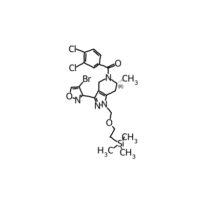 C[C@@H]1Cc2c(c(-c3nocc3Br)nn2COCC[Si](C)(C)C)CN1C(=O)c1ccc(Cl)c(Cl)c1